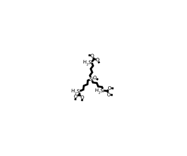 COC(OC)[SiH2]CCCC[Si](CCCC[SiH2]C(OC)OC)(CCCC[SiH2]C(OC)OC)OC